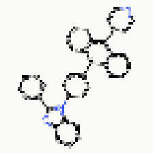 c1ccc(-c2nc3ccccc3n2-c2ccc(-c3c4ccccc4c(-c4ccncc4)c4ccccc34)cc2)cc1